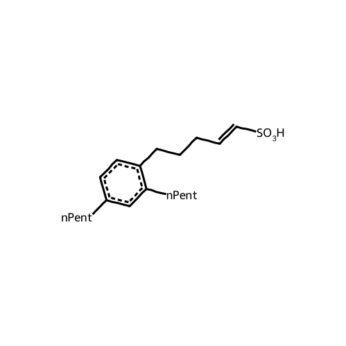 CCCCCc1ccc(CCCC=CS(=O)(=O)O)c(CCCCC)c1